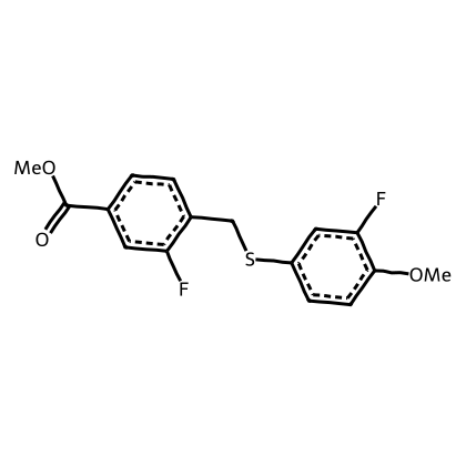 COC(=O)c1ccc(CSc2ccc(OC)c(F)c2)c(F)c1